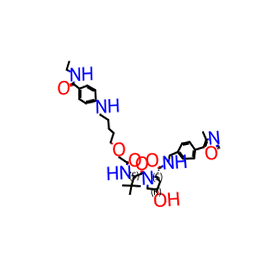 CCNC(=O)c1ccc(NCCCCCOCC(=O)N[C@H](C(=O)N2C[C@H](O)C[C@H]2C(=O)NCc2ccc(-c3ocnc3C)cc2)C(C)(C)C)cc1